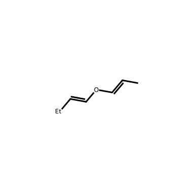 CC=COC=CCC